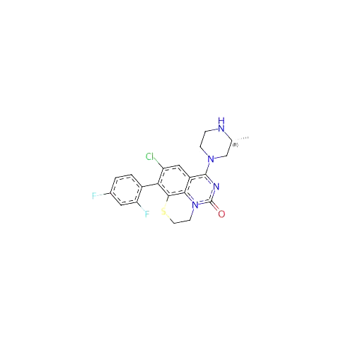 C[C@@H]1CN(c2nc(=O)n3c4c(c(-c5ccc(F)cc5F)c(Cl)cc24)SCC3)CCN1